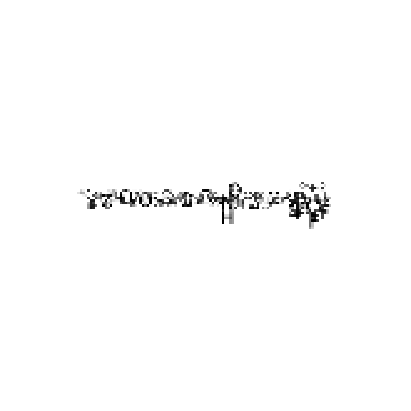 C=C(C)c1c(F)c(F)c(F)c(F)c1OC(=O)CCOCCOCCC(=O)NCCOCCOCCOCCOCCOCCOCCC